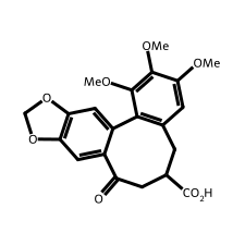 COc1cc2c(c(OC)c1OC)-c1cc3c(cc1C(=O)CC(C(=O)O)C2)OCO3